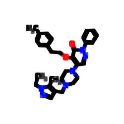 CCn1ncc(CN2CCN(c3cnn(-c4ccccc4)c(=O)c3OCCc3ccc(C)cc3)CC2)c1C